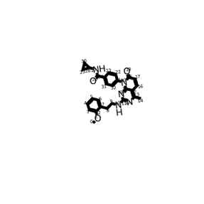 COc1ccccc1CCNc1nc(C)c2ccc(=O)n(-c3ccc(C(=O)NC4CC4)cc3)c2n1